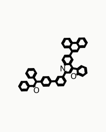 O=C(c1ccccc1)C(c1ccccc1)c1ccc(-c2cccc(-c3nc4ccc(-c5cc6ccccc6c6ccccc56)cc4c4c3oc3ccccc34)c2)cc1